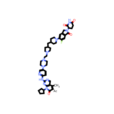 CC(=O)c1c(C)c2cnc(Nc3ccc(N4CCN(CCN5CCC(CC6CCN(c7cc8c(cc7F)C(=O)N(C7CCC(=O)NC7=O)C8)CC6)CC5)CC4)cn3)nc2n(C2CCCC2)c1=O